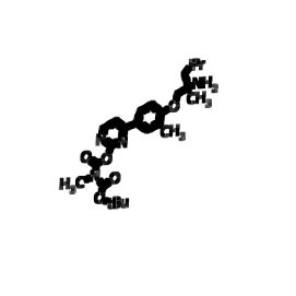 Cc1cc(-c2ccnc(OC(=O)N(C)C(=O)OC(C)(C)C)n2)ccc1OC[C@@](C)(N)CC(C)C